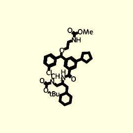 COC(=O)NCCOC(c1cccc(Cl)c1)c1cc(C(=O)NC(CC2CCCCC2)CN(C)C(=O)OC(C)(C)C)cc(C2CCCC2)c1